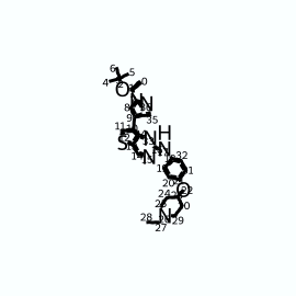 C=C(OC(C)(C)C)n1cc(-c2csc3cnc(Nc4ccc(OC5CCN(CC)CC5)cc4)nc23)cn1